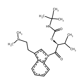 CC(C)[C@H](OC(=O)NC(C)(C)C)C(=O)n1cc(CCN(C)C)c2ccccc21